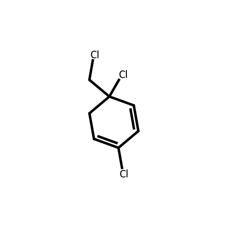 ClCC1(Cl)C=CC(Cl)=CC1